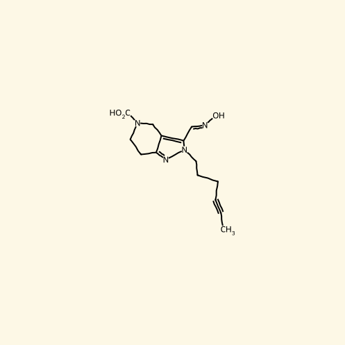 CC#CCCCn1nc2c(c1C=NO)CN(C(=O)O)CC2